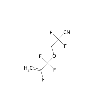 C=C(F)C(F)(F)OCC(F)(F)C#N